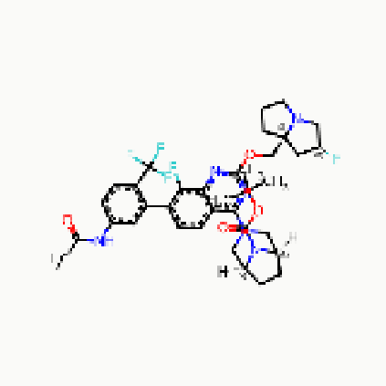 CC(=O)Nc1ccc(C(F)(F)F)c(-c2ccc3c(N4C[C@H]5CC[C@@H](C4)N5C(=O)OC(C)(C)C)nc(OC[C@@]45CCCN4C[C@H](F)C5)nc3c2F)c1